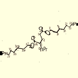 CCCC(CCC(=O)OCCCCCCC(C)C)C(=O)OCCCCCCC(C)C